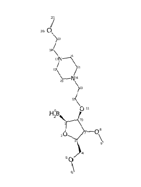 B[C@@H]1O[C@H](COC)C(OC)[C@@H]1OCCN1CCN(CCOC)CC1